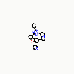 c1ccc(-c2nc(-c3ccccc3)nc(-c3cccc4oc5c(-c6cccnc6)cc(-c6cccnc6)cc5c34)n2)cc1